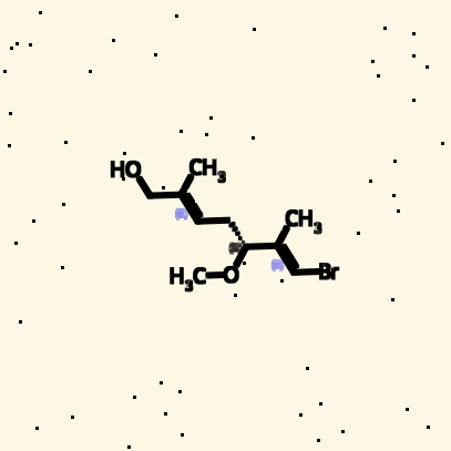 CO[C@H](C/C=C(\C)CO)/C(C)=C/Br